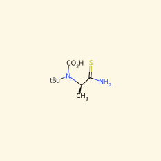 C[C@H](C(N)=S)N(C(=O)O)C(C)(C)C